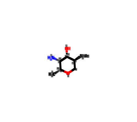 CC(=O)N[C@H]1[CH]O[C@H](C)[C@H](N)[C@@H]1O